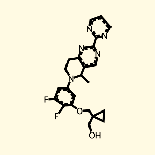 CC1c2cnc(-c3ncccn3)nc2CCN1c1cc(F)c(F)c(OCC2(CO)CC2)c1